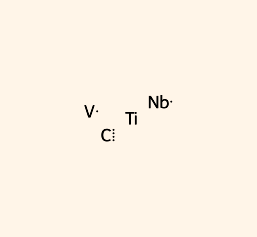 [C].[Nb].[Ti].[V]